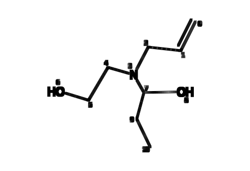 C=CCN(CCO)C(O)CC